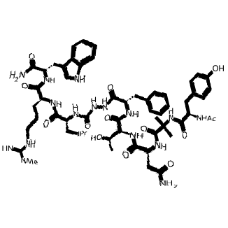 CNC(=N)NCCC[C@H](NC(=O)[C@H](CC(C)C)NC(=O)NNC(=O)[C@H](Cc1ccccc1)NC(=O)[C@@H](NC(=O)[C@H](CC(N)=O)NC(=O)C(C)(C)NC(=O)[C@@H](Cc1ccc(O)cc1)NC(C)=O)[C@@H](C)O)C(=O)N[C@@H](Cc1c[nH]c2ccccc12)C(N)=O